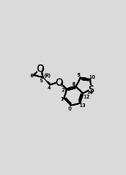 c1cc(OC[C@H]2CO2)c2ccsc2c1